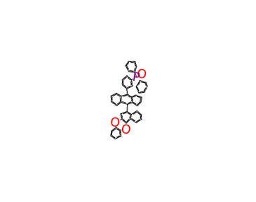 O=P(c1ccccc1)(c1ccccc1)c1cccc(-c2c3ccccc3c(-c3cc4c(c5ccccc35)Oc3ccccc3O4)c3ccccc23)c1